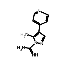 N=C(N)n1ncc(-c2ccncc2)c1N